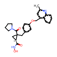 Cc1cc(COc2ccc(CC3(C(=O)N4CCCC4)C[C@@H]3C(=O)NO)cc2)c2ccccc2n1